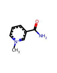 C[n+]1cccc(C(N)=O)c1